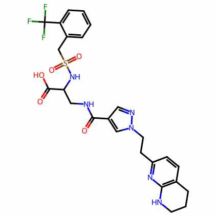 O=C(NCC(NS(=O)(=O)Cc1ccccc1C(F)(F)F)C(=O)O)c1cnn(CCc2ccc3c(n2)NCCC3)c1